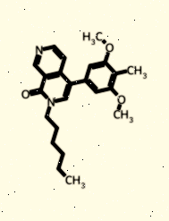 CCCCCCn1cc(-c2cc(OC)c(C)c(OC)c2)c2ccncc2c1=O